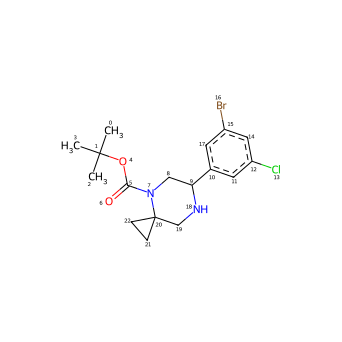 CC(C)(C)OC(=O)N1CC(c2cc(Cl)cc(Br)c2)NCC12CC2